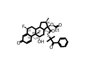 CCC(=O)O[C@]1(C(=O)SC(C)(C)C(=O)c2ccccc2)[C@H](C)CC2C3C[C@H](F)C4=CC(=O)C=C[C@]4(C)[C@@]3(F)[C@@H](O)C[C@@]21C